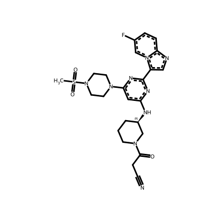 CS(=O)(=O)N1CCN(c2cc(N[C@@H]3CCCN(C(=O)CC#N)C3)nc(-c3cnc4ccc(F)cn34)n2)CC1